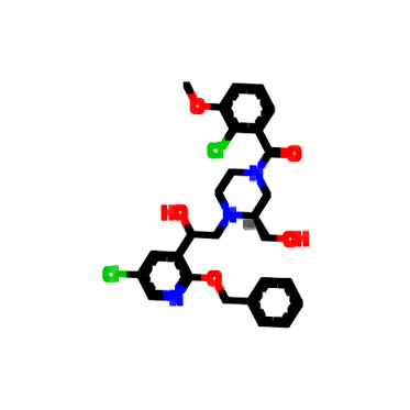 COc1cccc(C(=O)N2CCN(CC(O)c3cc(Cl)cnc3OCc3ccccc3)[C@H](CO)C2)c1Cl